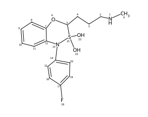 CNCCCC1Oc2ccccc2N(c2ccc(F)cc2)S1(O)O